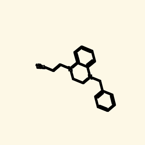 CC(C)(C)CCN1CCN(Cc2ccccc2)c2ccccc21